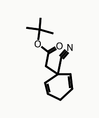 CC(C)(C)OC(=O)CC1(C#N)C=CCC=C1